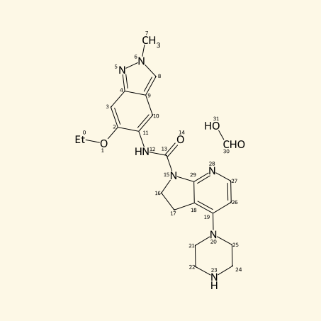 CCOc1cc2nn(C)cc2cc1NC(=O)N1CCc2c(N3CCNCC3)ccnc21.O=CO